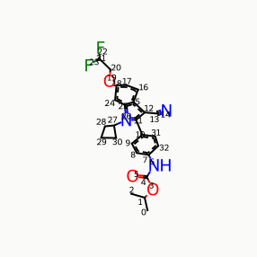 CC(C)OC(=O)Nc1ccc(-c2c(C#N)c3ccc(OCC(F)F)cc3n2C2CCC2)cc1